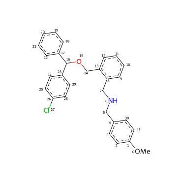 COc1ccc(CNCc2ccccc2COC(c2ccccc2)c2ccc(Cl)cc2)cc1